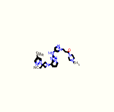 CSc1cnn(C2(CC#N)CN(c3cccn4nc(Nc5cnn(CCC(=O)N6CCN(C)CC6)c5)nc34)C2)c1